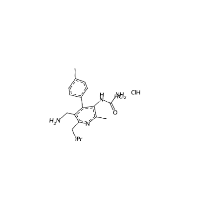 Cc1ccc(-c2c(CN)c(CC(C)C)nc(C)c2NC(N)=O)cc1.Cl.Cl